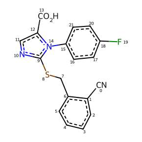 N#Cc1ccccc1CSc1ncc(C(=O)O)n1-c1ccc(F)cc1